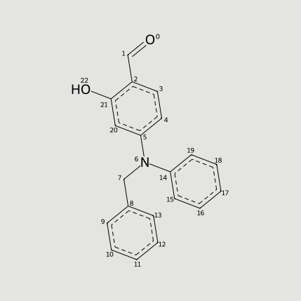 O=Cc1ccc(N(Cc2ccccc2)c2ccccc2)cc1O